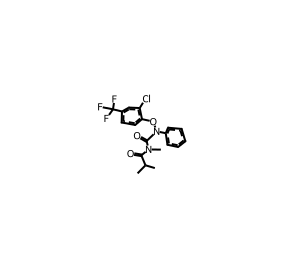 CC(C)C(=O)N(C)C(=O)N(Oc1ccc(C(F)(F)F)cc1Cl)c1ccccc1